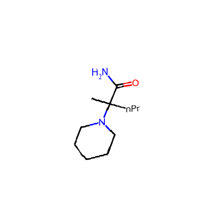 CCCC(C)(C(N)=O)N1CCCCC1